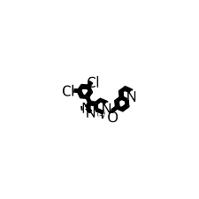 C[C@H]1c2nn(C)c(-c3cc(Cl)cc(Cl)c3)c2CCN1C(=O)c1ccc2ncccc2c1